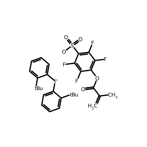 C=C(C)C(=O)Oc1c(F)c(F)c(S(=O)(=O)[O-])c(F)c1F.CC(C)(C)c1ccccc1[I+]c1ccccc1C(C)(C)C